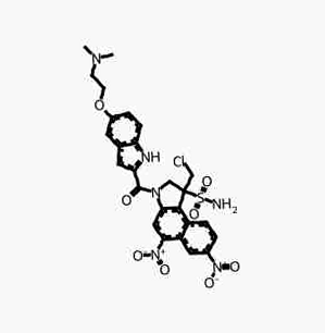 CN(C)CCOc1ccc2[nH]c(C(=O)N3CC(CCl)(S(N)(=O)=O)c4c3cc([N+](=O)[O-])c3cc([N+](=O)[O-])ccc43)cc2c1